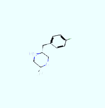 C[C@H]1CN[C@@H](Cc2ccc(Cl)cc2)CN1